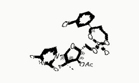 CC(=O)O[C@@H]1[C@@H](COP2(=O)OCC[C@@H](c3cccc(Cl)c3)O2)O[C@@H](n2ccc(=O)[nH]c2=O)[C@]1(C)F